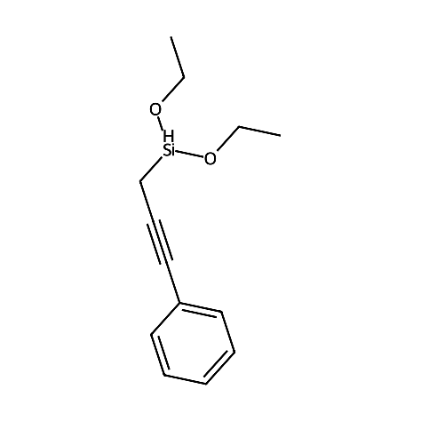 CCO[SiH](CC#Cc1ccccc1)OCC